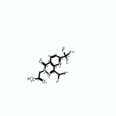 CC(=O)Cn1nc(C(I)I)c2nc(C(F)(F)F)ccc2c1=O